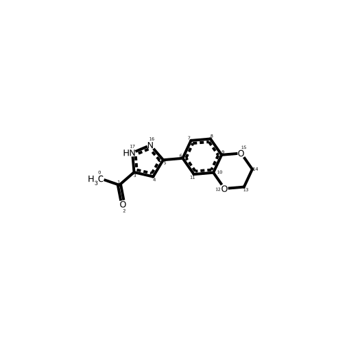 CC(=O)c1cc(-c2ccc3c(c2)OCCO3)n[nH]1